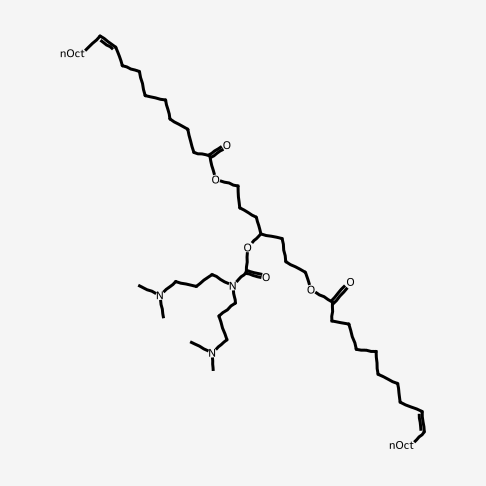 CCCCCCCC/C=C\CCCCCCCC(=O)OCCCC(CCCOC(=O)CCCCCCC/C=C\CCCCCCCC)OC(=O)N(CCCN(C)C)CCCN(C)C